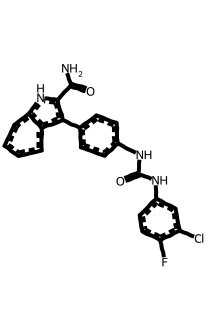 NC(=O)c1[nH]c2ccccc2c1-c1ccc(NC(=O)Nc2ccc(F)c(Cl)c2)cc1